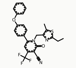 CCc1nc(Cn2c(-c3ccc(Oc4ccccc4)cc3)cc(C(F)(F)F)c(C#N)c2=O)c(C)s1